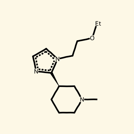 CCOCCn1ccnc1[C@@H]1CCCN(C)C1